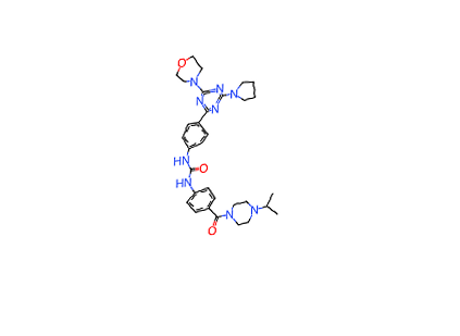 CC(C)N1CCN(C(=O)c2ccc(NC(=O)Nc3ccc(-c4nc(N5CCCC5)nc(N5CCOCC5)n4)cc3)cc2)CC1